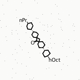 CCCCCCCC[C@H]1CC[C@H](C2CCC3(CC2)CC2(CCC([C@H]4CC[C@H](CCC)CC4)CC2)C3=O)CC1